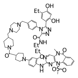 CCNC(=O)c1nnc(-c2cc(CC)c(O)cc2O)n1-c1ccc(CN2CCN(CC3CCN(C(=O)C4CCN(c5ccc(Nc6ncc7c(n6)N(S(C)(=O)=O)c6ccccc6C(=O)N7C)c(OCC)c5)CC4)CC3)CC2)cc1